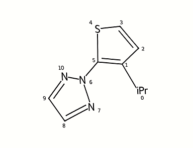 CC(C)c1ccsc1-n1nccn1